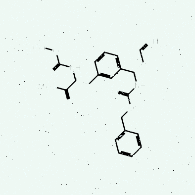 C=CC[C@H](NC(=O)OCc1ccccc1)c1cccc(C[C@@H](NC(=O)OC(C)(C)C)C(=O)OC)c1